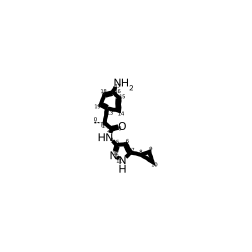 C[C@@H](C(=O)Nc1cc(C2CC2)[nH]n1)c1ccc(N)cc1